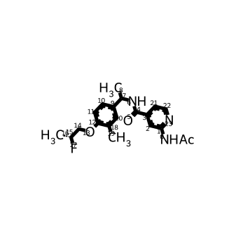 CC(=O)Nc1cc(C(=O)NC(C)c2ccc(OC[C@@H](C)F)c(C)c2)ccn1